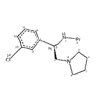 CC(C)N[C@@H](CN1CCCC1)c1cccc(Cl)c1